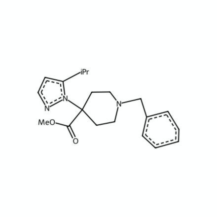 COC(=O)C1(n2nccc2C(C)C)CCN(Cc2ccccc2)CC1